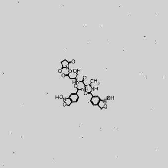 C[C@H](NC(=O)c1ccc2c(c1)B(O)OC2)[C@H](NC(=O)c1ccc2c(c1)B(O)OC2)C(=O)N[C@H](CO)CC(=O)ON1C(=O)CCC1=O